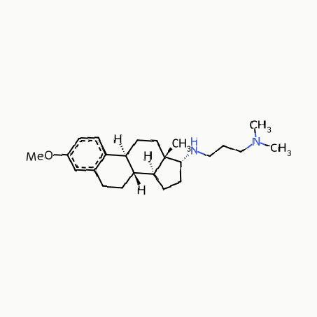 COc1ccc2c(c1)CC[C@@H]1[C@@H]2CC[C@]2(C)[C@H](NCCCN(C)C)CC[C@@H]12